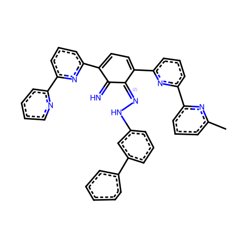 Cc1cccc(-c2cccc(C3=CC=C(c4cccc(-c5ccccn5)n4)C(=N)/C3=N\Nc3cccc(-c4ccccc4)c3)n2)n1